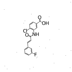 O=C(C=Cc1cccc(F)c1)Nc1cc(C(=O)O)ccc1Cl